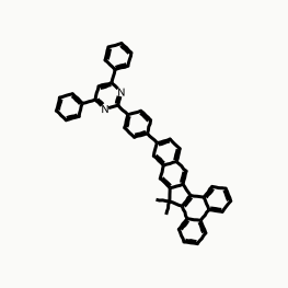 CC1(C)c2cc3cc(-c4ccc(-c5nc(-c6ccccc6)cc(-c6ccccc6)n5)cc4)ccc3cc2-c2c1c1ccccc1c1ccccc21